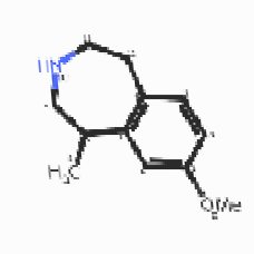 COc1ccc2c(c1)C(C)CNCC2